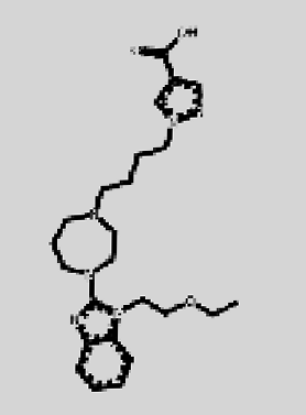 CCOCCn1c(N2CCCN(CCCCn3cc(C(=O)O)cn3)CC2)nc2ccccc21